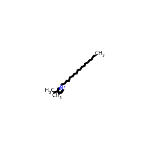 CCCCCCCCCCCCCCCCCCC[n+]1cccc(C(C)C)c1